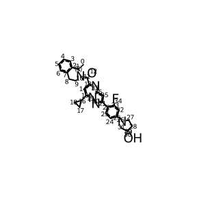 C[C@@H]1c2ccccc2CCN1C(=O)c1cc(C2CC2)n2nc(-c3ccc(N4CC[C@H](O)C4)cc3F)cc2n1